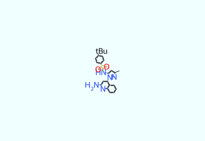 Cc1cc(NS(=O)(=O)c2ccc(C(C)(C)C)cc2)n(-c2cc(N)nc3ccccc23)n1